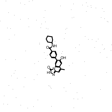 Cc1cc2n[nH]c(=O)n2c2cc(-c3ccc(C(=O)NC4CCCCC4)cc3)c(O)cc12